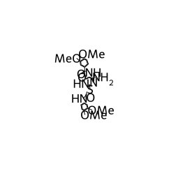 COc1ccc(NC(=O)CSc2nc(N)c(NC(=O)c3ccc(OC)c(OC)c3)c(=O)[nH]2)cc1OC